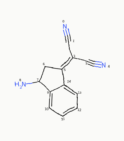 N#CC(C#N)=C1CC(N)c2ccccc21